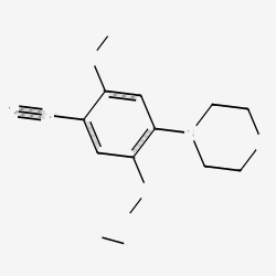 CCOc1cc(N2CCOCC2)c(OCC)cc1[N+]#N.O=S(=O)([O-])O